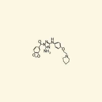 Nc1nc(Nc2ccc(OCCN3CCCCC3)cc2)nn1C(=O)c1ccc2c(c1)OCO2